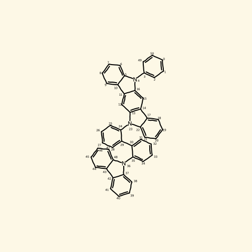 c1ccc(-n2c3ccccc3c3cc4c(cc32)c2ccccc2n4-c2ccccc2-c2ccccc2-n2c3ccccc3c3ccccc32)cc1